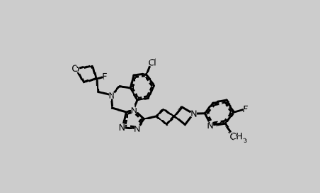 Cc1nc(N2CC3(CC(c4nnc5n4-c4ccc(Cl)cc4CN(CC4(F)COC4)C5)C3)C2)ccc1F